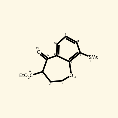 CCOC(=O)C1CCOc2c(SC)cccc2C1=O